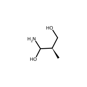 C[C@H](CO)C(N)O